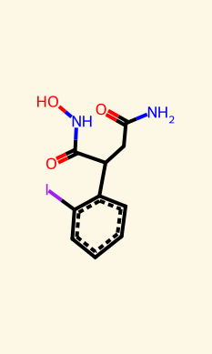 NC(=O)CC(C(=O)NO)c1ccccc1I